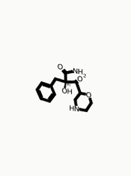 NC(=O)[C@@](O)(Cc1ccccc1)C(=O)C1CNCCO1